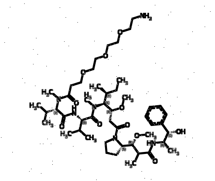 CC[C@H](C)[C@@H]([C@@H](CC(=O)N1CCC[C@H]1[C@H](OC)C(C)C(=O)N[C@H](C)[C@@H](O)c1ccccc1)OC)N(C)C(=O)[C@@H](NC(=O)[C@H](C(C)C)N(C)C(=O)CCOCCOCCOCCN)C(C)C